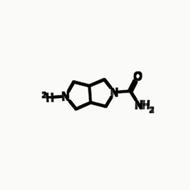 [2H]N1CC2CN(C(N)=O)CC2C1